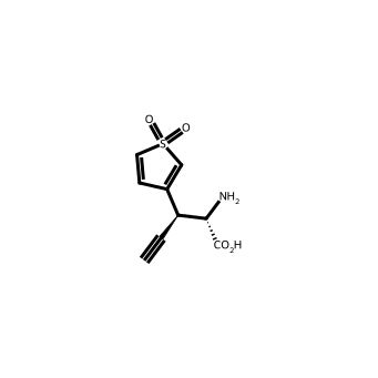 C#C[C@@H](C1=CS(=O)(=O)C=C1)[C@H](N)C(=O)O